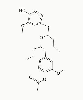 CCCC(Cc1ccc(O)c(OC)c1)OC(CCC)Cc1ccc(OC(C)=O)c(OC)c1